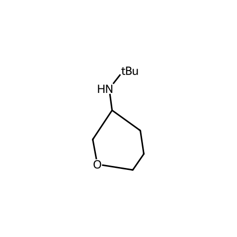 CC(C)(C)NC1CCCOC1